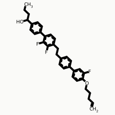 C=CCCCOc1ccc(-c2ccc(CCc3ccc(-c4ccc(C(O)CCC)cc4)c(F)c3F)cc2)cc1F